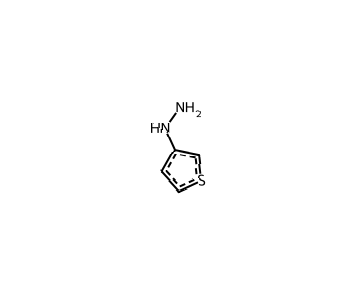 NNc1ccsc1